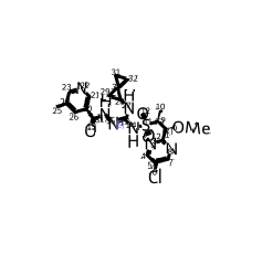 CO[C@H](c1ncc(Cl)cn1)[C@H](C)S(=O)(=O)N/C(=N/NC(=O)c1cncc(C)c1)NC1CC12CC2